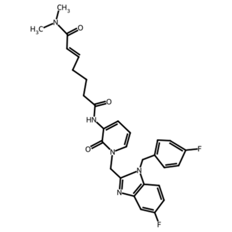 CN(C)C(=O)/C=C/CCCC(=O)Nc1cccn(Cc2nc3cc(F)ccc3n2Cc2ccc(F)cc2)c1=O